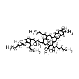 C=C(CCC(CCC(=C(C)C)C(CCCCCC)CCCCCCCC)CC(=C)C(CCCCC)CCCCCCCC)CC1CCC(OC(=C)CCCN)C1C/C=C\C